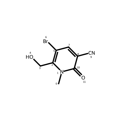 Cn1c(CO)c(Br)cc(C#N)c1=O